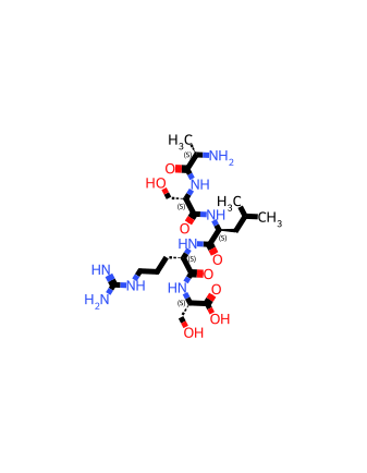 CC(C)C[C@H](NC(=O)[C@H](CO)NC(=O)[C@H](C)N)C(=O)N[C@@H](CCCNC(=N)N)C(=O)N[C@@H](CO)C(=O)O